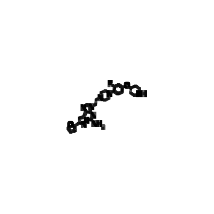 Nc1nc2c(ncn2CCN2CCN(c3ccc(OC4CCNCC4)cc3F)CC2)c2cc(-c3ccco3)nn12